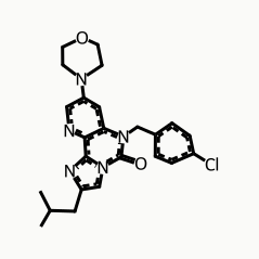 CC(C)Cc1cn2c(=O)n(Cc3ccc(Cl)cc3)c3cc(N4CCOCC4)cnc3c2n1